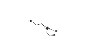 C=CC.CC(C)O.OCCO